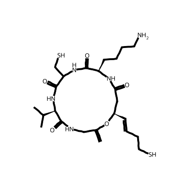 C=C1CNC(=O)[C@@H](C(C)C)NC(=O)C(CS)NC(=O)[C@@H](CCCCN)NC(=O)C[C@@H](/C=C/CCS)O1